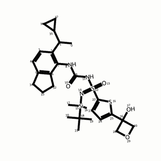 CC(c1ccc2c(c1NC(=O)NS(=O)(=N[Si](C)(C)C(C)(C)C)c1ccc(C3(O)COC3)s1)CCC2)C1CC1